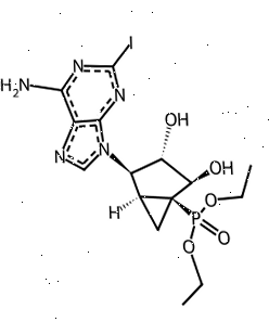 CCOP(=O)(OCC)[C@@]12C[C@H]1[C@@H](n1cnc3c(N)nc(I)nc31)[C@H](O)[C@H]2O